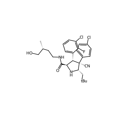 C[C@@H](CO)CCNC(=O)[C@@H]1N[C@@H](CC(C)(C)C)[C@](C#N)(c2ccc(Cl)cc2)[C@H]1c1cccc(Cl)c1F